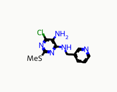 CSc1nc(Cl)c(N)c(NCc2cccnc2)n1